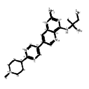 CCCCC(C)(CO)Nc1nc(N)nc2cc(-c3cnc(C4CCN(C)CC4)nc3)cnc12